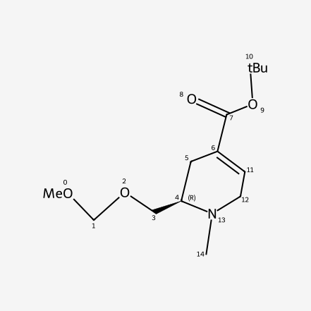 COCOC[C@H]1CC(C(=O)OC(C)(C)C)=CCN1C